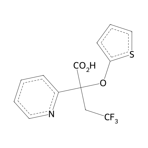 O=C(O)C(CC(F)(F)F)(Oc1cccs1)c1ccccn1